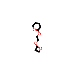 C1CCC(OCCOC2CCO2)OC1